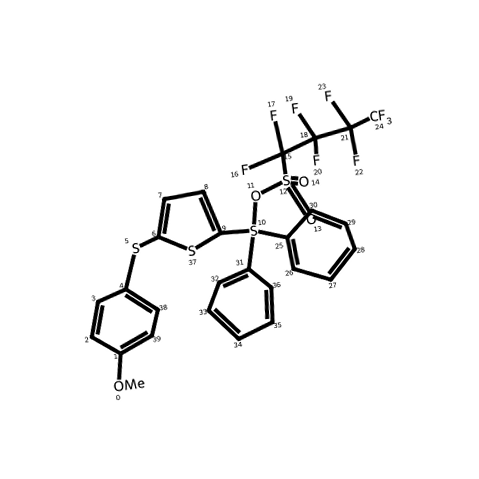 COc1ccc(Sc2ccc(S(OS(=O)(=O)C(F)(F)C(F)(F)C(F)(F)C(F)(F)F)(c3ccccc3)c3ccccc3)s2)cc1